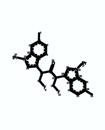 Cc1ccc2c(C(CF)C(=O)C(CF)c3cn(C(C)C)c4cc(C)ccc34)cn(C(C)C)c2c1